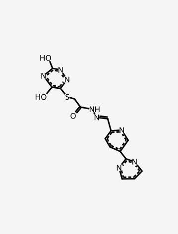 O=C(CSc1nnc(O)nc1O)N/N=C/c1ccc(-c2ncccn2)cn1